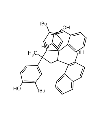 CC(C)(C)c1cc(C(C)(CC(c2c(O)ccc3ccccc23)c2c(O)ccc3ccccc23)c2ccc(O)c(C(C)(C)C)c2)ccc1O